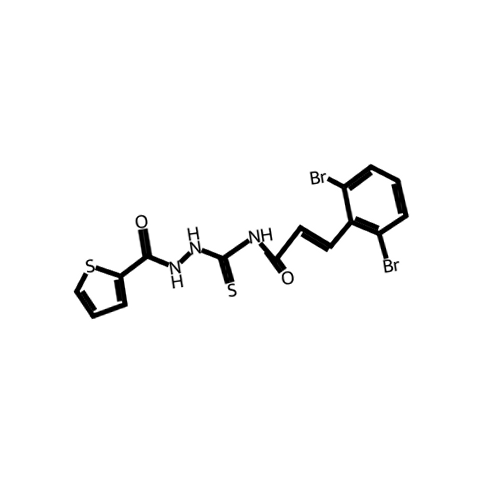 O=C(C=Cc1c(Br)cccc1Br)NC(=S)NNC(=O)c1cccs1